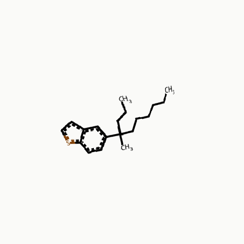 CCCCCCC(C)(CCC)c1ccc2sccc2c1